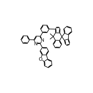 CC1(C)c2ccccc2C2(c3ccccc3-c3ccccc32)c2cccc(-c3cccc(-c4cc(-c5ccccc5)nc(-c5ccc6c(c5)oc5ccccc56)n4)c3)c21